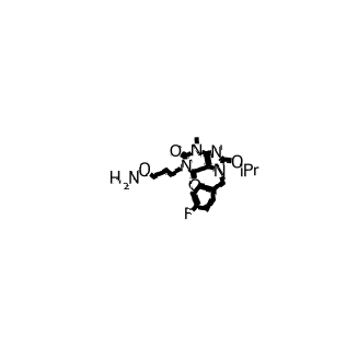 CC(C)Oc1nc2c(c(=O)n(CCCON)c(=O)n2C)n1Cc1ccc(F)cc1